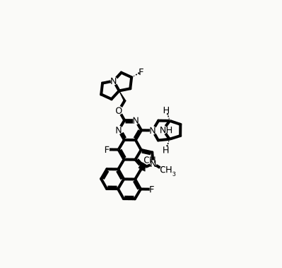 C#Cc1c(F)ccc2cccc(-c3c(F)c4nc(OC[C@@]56CCCN5C[C@H](F)C6)nc(N5C[C@H]6CC[C@@H](C5)N6)c4c4cn(C)nc34)c12